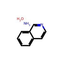 N.O.c1ccc2cnccc2c1